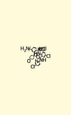 CC(C)(N)c1ccc(C(=O)Nc2ccc(Cl)cc2C(=O)Nc2ccc(Cl)cn2)c(OC2CCC(=O)CC2)c1.Cl.Cl